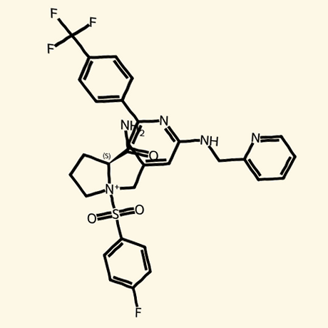 NC(=O)[C@@H]1CCC[N+]1(Cc1cc(NCc2ccccn2)nc(-c2ccc(C(F)(F)F)cc2)c1)S(=O)(=O)c1ccc(F)cc1